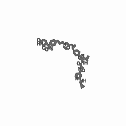 C=C(C)c1nn([C@H]2CC[C@H](CN(C)C[C@@H]3CN(CCCc4ccc5c(c4)n(C)c(=O)n5C4CCC(=O)NC4=O)CCO3)CC2)cc1NC(=O)c1coc(-c2ccnc(NCC3CC3)c2)n1